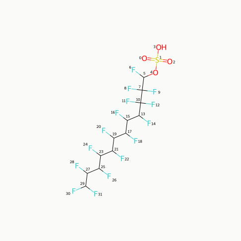 O=S(=O)(O)OC(F)C(F)(F)C(F)(F)C(F)C(F)C(F)C(F)C(F)C(F)C(F)C(F)C(F)F